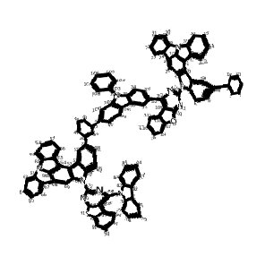 c1ccc(-c2ccc3c(c2)c2c4c5ccccc5n5c6ccccc6c(cc2n3-c2nc(-c3ccc6c(c3)c3ccc(-c7cccc(-c8ccc9c(c8)c8c%10c%11ccccc%11n%11c%12ccccc%12c(cc8n9-c8nc(-n9c%12ccccc%12c%12ccccc%129)c9c(n8)sc8ccccc89)c%10%11)c7)cc3n6-c3ccccc3)c3c(n2)oc2ccccc23)c45)cc1